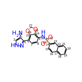 Nc1c[nH]nc1-c1ccc(NS(=O)(=O)c2ccc3ccccc3c2)c2c1OCO2